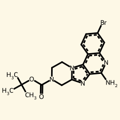 CC(C)(C)OC(=O)N1CCn2c(nc3c(N)nc4cc(Br)ccc4c32)C1